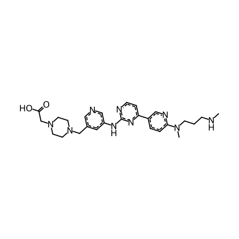 CNCCCN(C)c1ccc(-c2ccnc(Nc3cncc(CN4CCN(CC(=O)O)CC4)c3)n2)cn1